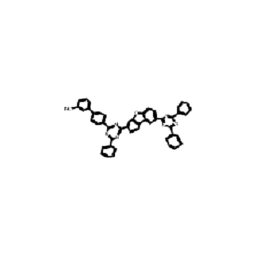 N#Cc1cccc(-c2ccc(-c3nc(-c4ccccc4)nc(-c4ccc5c(c4)oc4ccc(-c6nc(-c7ccccc7)nc(-c7ccccc7)n6)cc45)n3)cc2)c1